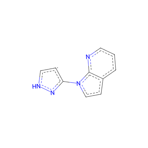 [c]1c[nH]nc1-n1ccc2cccnc21